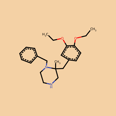 CCOc1ccc(CC2(C)CNCCN2Cc2ccccc2)cc1OCC